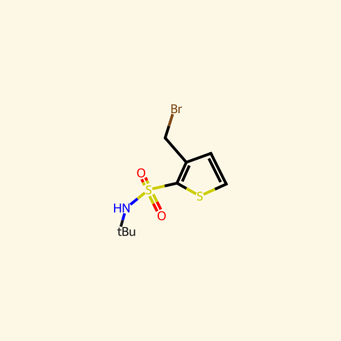 CC(C)(C)NS(=O)(=O)c1sccc1CBr